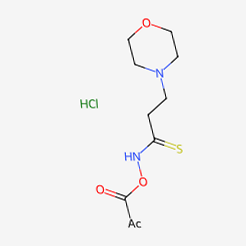 CC(=O)C(=O)ONC(=S)CCN1CCOCC1.Cl